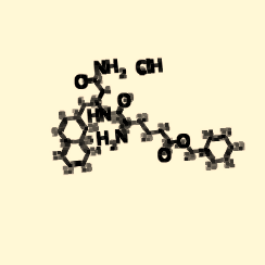 Cl.NC(=O)C[C@H](Cc1ccc2ccccc2c1)NC(=O)[C@@H](N)CCCC(=O)OCc1ccccc1